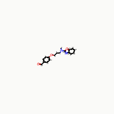 CN(CCCOc1ccc(C=O)cc1)c1nc2ccccc2o1